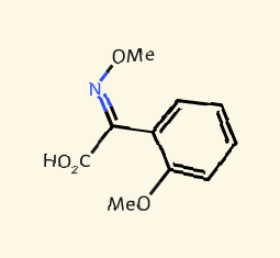 CO/N=C(/C(=O)O)c1ccccc1OC